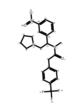 CN(C(=O)Cc1ccc(C(F)(F)F)cc1)C(CN1CCCC1)c1cccc([N+](=O)[O-])c1